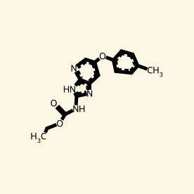 CCOC(=O)Nc1nc2cc(Oc3ccc(C)cc3)cnc2[nH]1